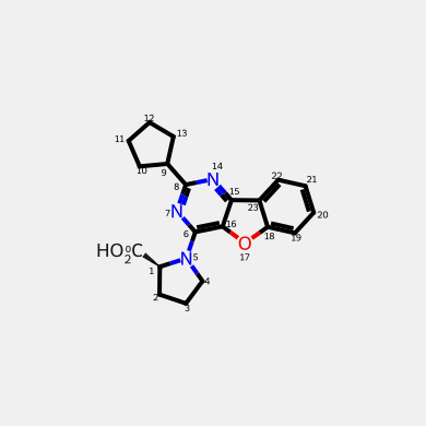 O=C(O)[C@@H]1CCCN1c1nc(C2CCCC2)nc2c1oc1ccccc12